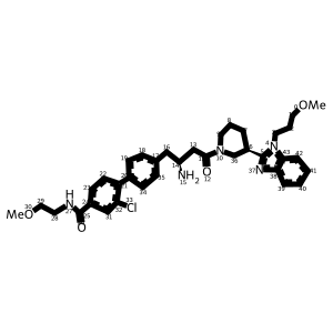 COCCCn1c([C@@H]2CCCN(C(=O)C[C@H](N)Cc3ccc(-c4ccc(C(=O)NCCOC)cc4Cl)cc3)C2)nc2ccccc21